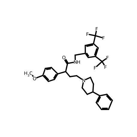 COc1ccc(C(CCN2CCC(c3ccccc3)CC2)C(=O)NCc2cc(C(F)(F)F)cc(C(F)(F)F)c2)cc1